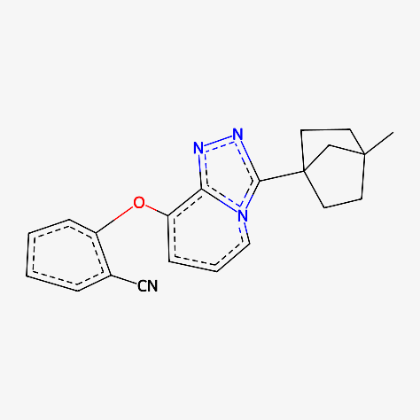 CC12CCC(c3nnc4c(Oc5ccccc5C#N)cccn34)(CC1)C2